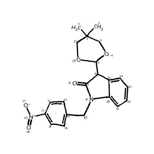 CC1(C)COC(C2C(=O)N(Cc3ccc([N+](=O)[O-])cc3)c3ccccc32)OC1